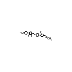 CCOCc1ccc(C2CCC(CCc3ccc(C4CCC(O)CC4)c(F)c3F)CC2)c(F)c1